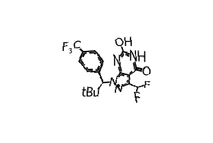 CC(C)(C)[C@@H](c1ccc(C(F)(F)F)cc1)n1nc(C(F)F)c2c(=O)[nH]c(O)nc21